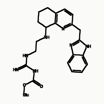 CC(C)(C)OC(=O)NC(=N)NCCNC1CCCc2ccc(Cc3nc4ccccc4[nH]3)nc21